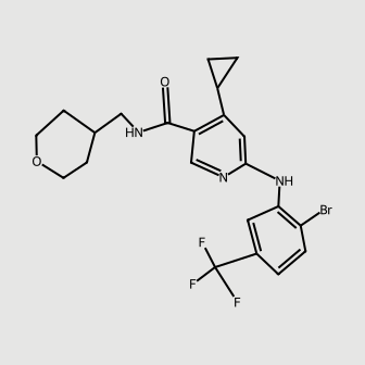 O=C(NCC1CCOCC1)c1cnc(Nc2cc(C(F)(F)F)ccc2Br)cc1C1CC1